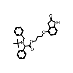 CC(C)(C)N(Cc1ccccc1)C(C(=O)OCCCOc1cccc2c1CC(=O)N2)c1ccccc1